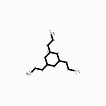 CCCC1CC(CCC)CC(CCC)C1